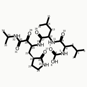 CC(C)CC(NC(=O)O)C(=O)NC(CC(C)C)C(=O)NC(C[C@@H]1CCNC1=O)C(=O)C(=O)NC(C)C